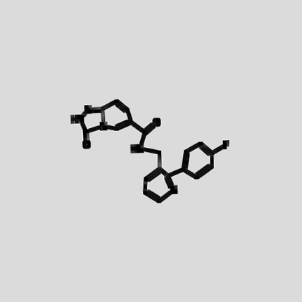 O=C(NCc1cccnc1-c1ccc(F)cc1)c1ccc2n[nH]c(=O)n2c1